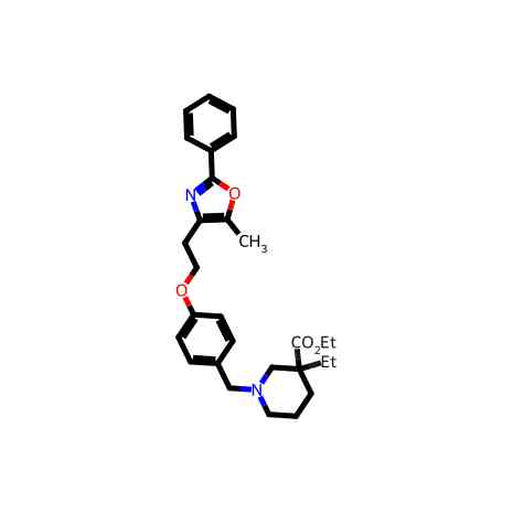 CCOC(=O)C1(CC)CCCN(Cc2ccc(OCCc3nc(-c4ccccc4)oc3C)cc2)C1